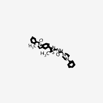 Cc1ccccc1C(=O)N1CCc2cc(-c3nc(NC(=O)CN4CCN(c5ccccc5)CC4)sc3C)ccc21